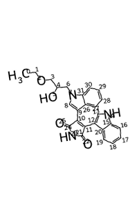 CCOCC(O)Cn1cc(C2=C(c3c[nH]c4ccccc34)C(=O)NC2=O)c2ccccc21